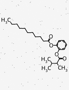 CCCCCCCCCCC(=O)Oc1ccccc1OC(=O)C(C)C(C)C